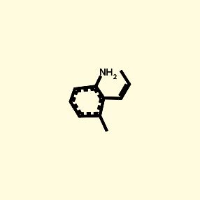 C/C=C\c1c(C)cccc1N